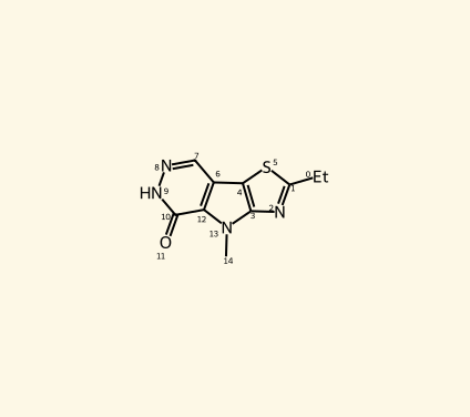 CCc1nc2c(s1)c1cn[nH]c(=O)c1n2C